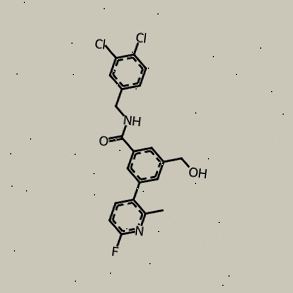 Cc1nc(F)ccc1-c1cc(CO)cc(C(=O)NCc2ccc(Cl)c(Cl)c2)c1